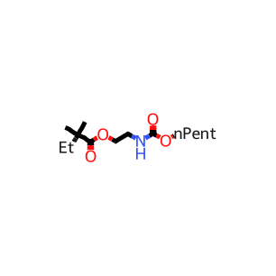 CCCCCOC(=O)NCCOC(=O)C(C)(C)CC